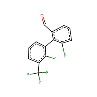 O=Cc1cccc(F)c1-c1cccc(C(F)(F)F)c1F